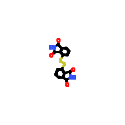 O=C1NC(=O)c2c(SSc3cccc4c3C(=O)NC4=O)cccc21